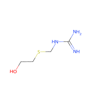 N=C(N)NCSCCO